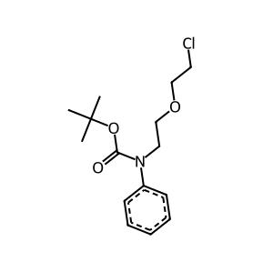 CC(C)(C)OC(=O)N(CCOCCCl)c1ccccc1